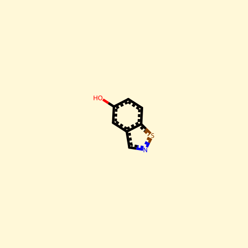 Oc1ccc2sncc2c1